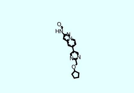 O=CNc1cc2cc(-c3cnc(COC4CCCC4)nc3)ccn2n1